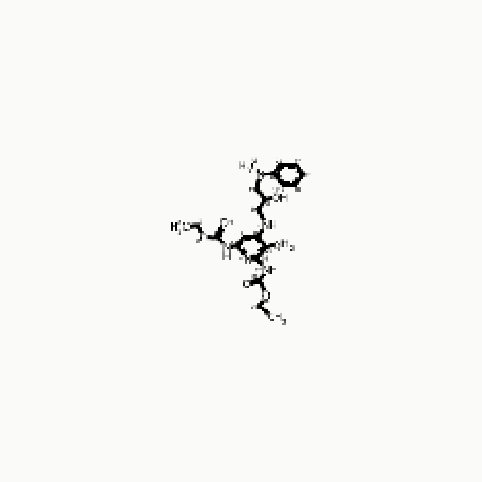 CCOC(=O)Nc1cc(NCC(O)CN(C)c2ccccc2)c(N)c(NC(=O)OCC)n1